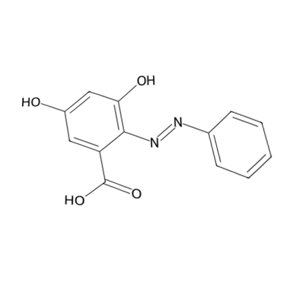 O=C(O)c1cc(O)cc(O)c1N=Nc1ccccc1